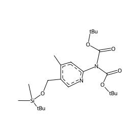 Cc1cc(N(C(=O)OC(C)(C)C)C(=O)OC(C)(C)C)ncc1CO[Si](C)(C)C(C)(C)C